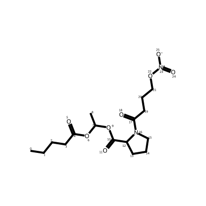 CCCCC(=O)OC(C)OC(=O)C1CCCN1C(=O)CCCO[N+](=O)[O-]